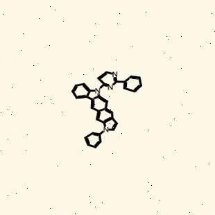 c1ccc(-c2nccc(-n3c4ccccc4c4cc5cc6c(ccn6-c6ccccc6)cc5cc43)n2)cc1